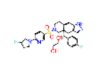 O=S(=O)(c1ccc(N2CCC(F)C2)nc1)N1CCC2=Cc3[nH]ncc3CC2([C@H](OCCO)c2ccc(F)cc2)C1